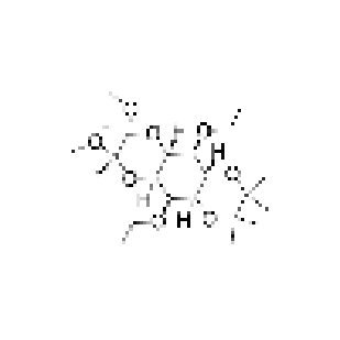 CCO[C@@H]1[C@@H]2OC(C)(C)C(C)(C)O[C@H]2[C@H](OCC)[C@H]2O[C@](C)(OC)[C@@](C)(OC)O[C@H]12